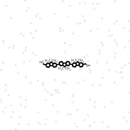 CC1(C)c2cc(CS)ccc2-c2ccc(-c3ccc4c(c3)C(C)(C)c3cc(-c5ccc6c(c5)C(C)(C)c5cc(CS)ccc5-6)ccc3-4)cc21